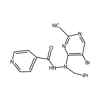 CC(C)CN(NC(=O)c1ccncc1)c1nc(C#N)ncc1Br